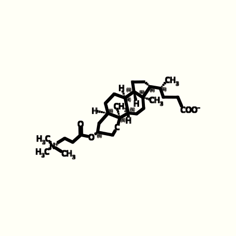 C[C@H](CCC(=O)[O-])[C@H]1CC[C@H]2[C@@H]3CC[C@@H]4C[C@@H](OC(=O)CC[N+](C)(C)C)CC[C@]4(C)[C@H]3CC[C@]12C